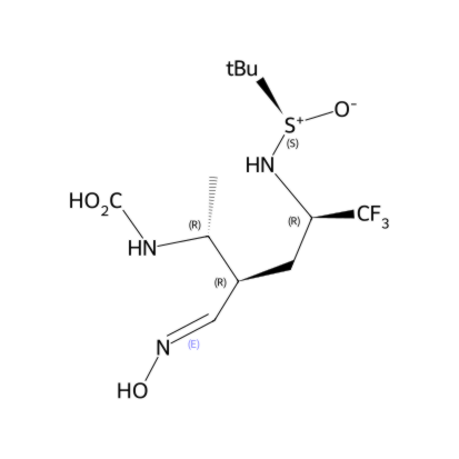 C[C@@H](NC(=O)O)[C@H](/C=N/O)C[C@@H](N[S@+]([O-])C(C)(C)C)C(F)(F)F